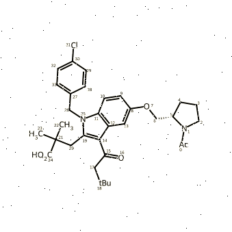 CC(=O)N1CCC[C@H]1COc1ccc2c(c1)c(C(=O)CC(C)(C)C)c(CC(C)(C)C(=O)O)n2Cc1ccc(Cl)cc1